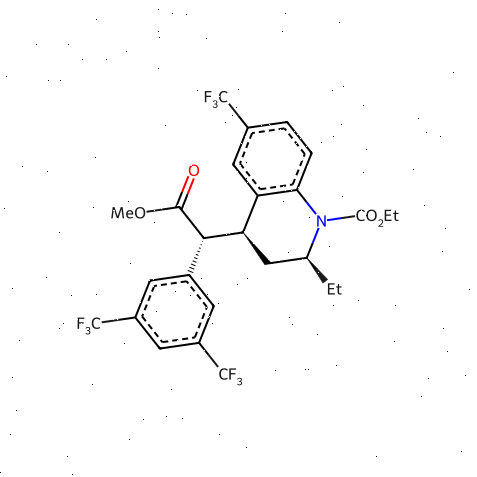 CCOC(=O)N1c2ccc(C(F)(F)F)cc2[C@H]([C@@H](C(=O)OC)c2cc(C(F)(F)F)cc(C(F)(F)F)c2)C[C@@H]1CC